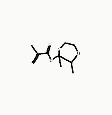 C=C(C)C(=O)OC1(C)SCCOC1C